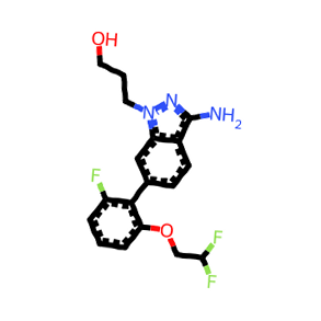 Nc1nn(CCCO)c2cc(-c3c(F)cccc3OCC(F)F)ccc12